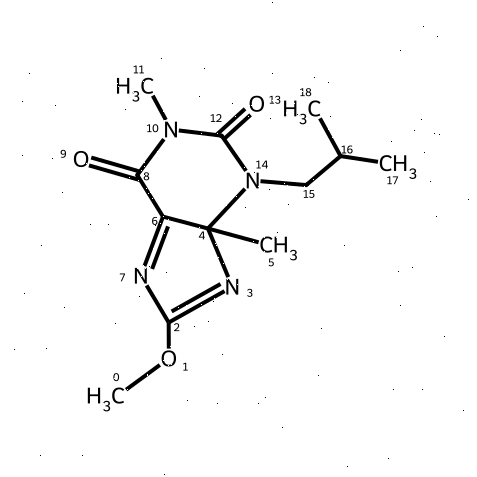 COC1=NC2(C)C(=N1)C(=O)N(C)C(=O)N2CC(C)C